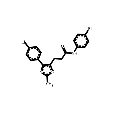 CCc1ccc(NC(=O)CCc2oc(C)nc2-c2ccc(Cl)cc2)cc1